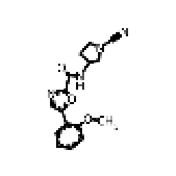 COc1ccccc1-c1cnc(C(=O)NC2CCN(C#N)C2)o1